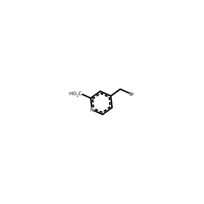 O=C(O)c1cc(CBr)ccn1